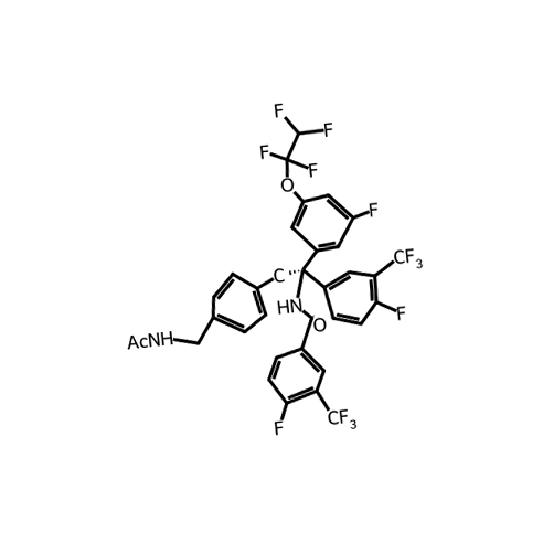 CC(=O)NCc1ccc(C[C@](NC(=O)c2ccc(F)c(C(F)(F)F)c2)(c2cc(F)cc(OC(F)(F)C(F)F)c2)c2ccc(F)c(C(F)(F)F)c2)cc1